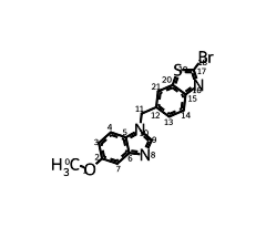 COc1ccc2c(c1)ncn2Cc1ccc2nc(Br)sc2c1